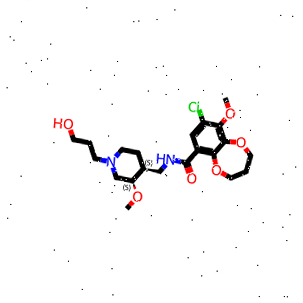 COc1c(Cl)cc(C(=O)NC[C@@H]2CCN(CCCO)C[C@H]2OC)c2c1OCCCO2